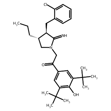 CCC[C@H]1CN(CC(=O)c2cc(C(C)(C)C)c(O)c(C(C)(C)C)c2)C(=N)[C@@H]1Cc1ccccc1Cl